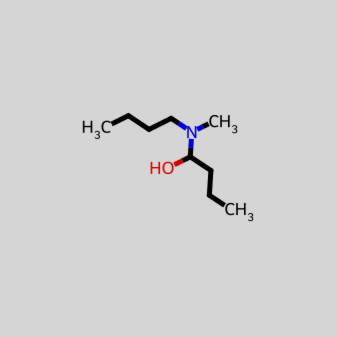 CCCCN(C)C(O)CCC